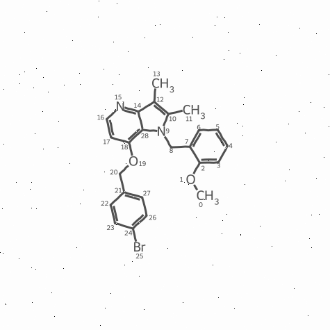 COc1ccccc1Cn1c(C)c(C)c2nccc(OCc3ccc(Br)cc3)c21